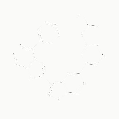 CN(C)Cc1cncc(-c2cc3c(-c4cc5c(-c6ccncc6)nccc5[nH]4)n[nH]c3cn2)c1